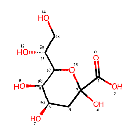 O=C(O)C1(O)C[C@@H](O)[C@@H](O)C([C@H](O)CO)O1